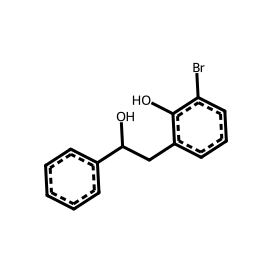 Oc1c(Br)cccc1CC(O)c1ccccc1